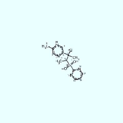 Cc1cnc(C(C)(Cl)C(C)S(=O)(=O)c2ncccn2)cn1